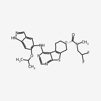 CC(C)Oc1cc2[nH]ncc2cc1Nc1ncnc2sc3c(c12)CC[C@H](C(=O)N(C)CC(F)F)C3